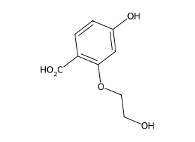 O=C(O)c1ccc(O)cc1OCCO